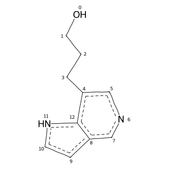 OCCCc1cncc2cc[nH]c12